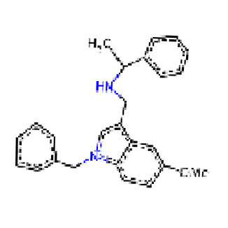 COc1ccc2c(c1)c(CNC(C)c1ccccc1)cn2Cc1ccccc1